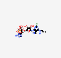 CC(C)CNc1nc(Cl)nc2c1cnn2[C@@H]1O[C@H](CO[C@@](CO)(Cc2nn[nH]n2)P(=O)(O)O)[C@@H](O)[C@H]1O